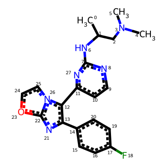 CC(CN(C)C)Nc1nccc(-c2c(-c3ccc(F)cc3)nc3occn23)n1